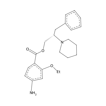 CCOc1cc(N)ccc1C(=O)OC[C@H](Cc1ccccc1)N1CCCCC1